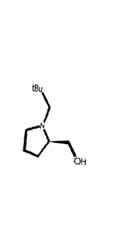 CC(C)(C)CN1CCC[C@@H]1CO